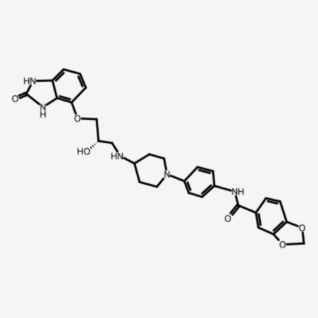 O=C(Nc1ccc(N2CCC(NC[C@H](O)COc3cccc4[nH]c(=O)[nH]c34)CC2)cc1)c1ccc2c(c1)OCO2